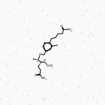 C[C@@H](OCc1ccc(CCCCC(N)=O)c(F)c1)[C@H](CCC(N)=O)NC=O